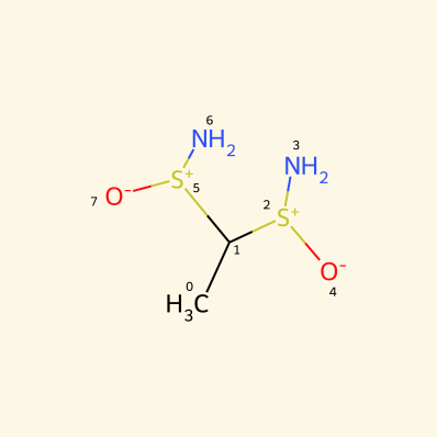 CC([S+](N)[O-])[S+](N)[O-]